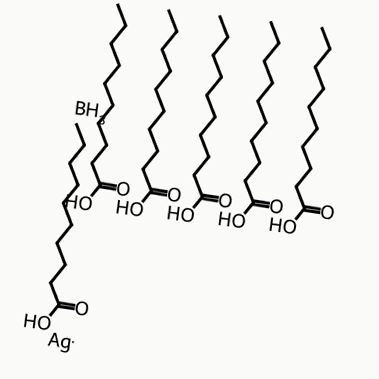 B.CCCCCCCCCC(=O)O.CCCCCCCCCC(=O)O.CCCCCCCCCC(=O)O.CCCCCCCCCC(=O)O.CCCCCCCCCC(=O)O.CCCCCCCCCC(=O)O.[Ag]